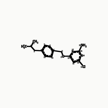 CC(C)Cc1ccc(COc2cc(Cl)nc(N)n2)cc1